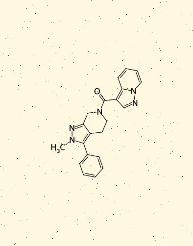 Cn1nc2c(c1-c1ccccc1)CCN(C(=O)c1cnn3ccccc13)C2